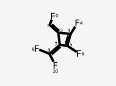 FC=C1C(F)=C(F)C1=C(F)F